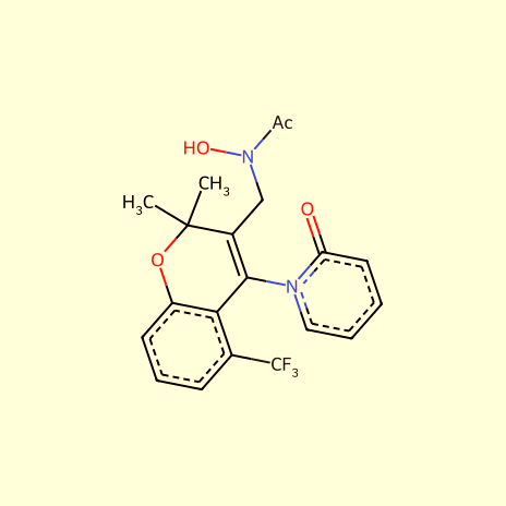 CC(=O)N(O)CC1=C(n2ccccc2=O)c2c(cccc2C(F)(F)F)OC1(C)C